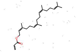 C=CC(=O)OCC=C(C)CCC=C(C)CCC=C(C)CCC=C(C)C